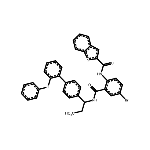 O=C(O)CC(NC(=O)c1cc(Br)ccc1NC(=O)c1cc2ccccc2s1)c1ccc(-c2ccccc2Oc2ccccc2)cc1